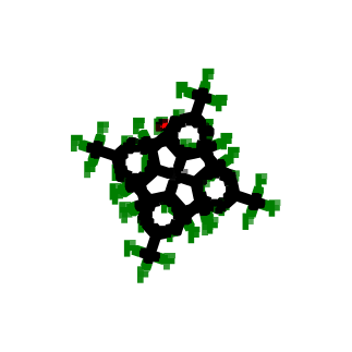 FC(F)(F)c1cc(C(F)(F)F)c([B-](c2c(C(F)(F)F)cc(C(F)(F)F)cc2C(F)(F)F)(c2c(C(F)(F)F)cc(C(F)(F)F)cc2C(F)(F)F)c2c(C(F)(F)F)cc(C(F)(F)F)cc2C(F)(F)F)c(C(F)(F)F)c1